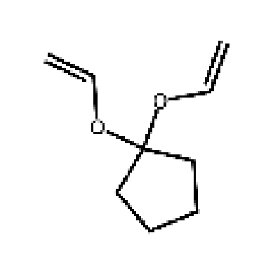 C=COC1(OC=C)CCCC1